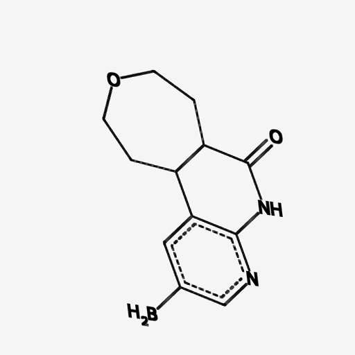 Bc1cnc2c(c1)C1CCOCCC1C(=O)N2